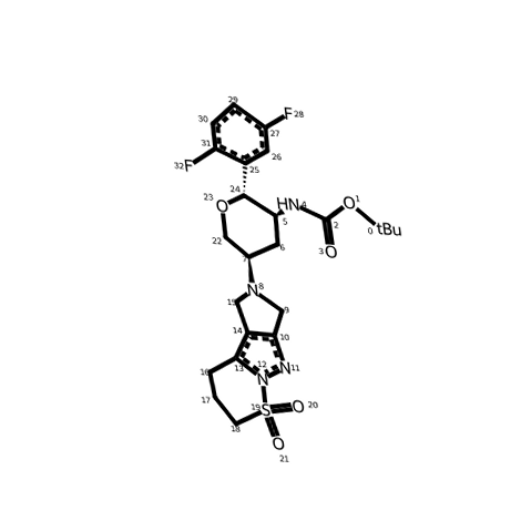 CC(C)(C)OC(=O)N[C@H]1C[C@@H](N2Cc3nn4c(c3C2)CCCS4(=O)=O)CO[C@@H]1c1cc(F)ccc1F